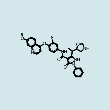 COc1ccc2c(Oc3ccc(NC(=O)c4c(C(C)C5CNCO5)[nH]n(-c5ccccc5)c4=O)cc3F)ccnc2c1